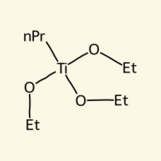 CC[CH2][Ti]([O]CC)([O]CC)[O]CC